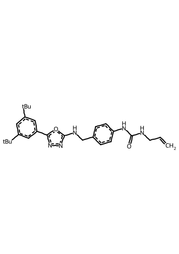 C=CCNC(=O)Nc1ccc(CNc2nnc(-c3cc(C(C)(C)C)cc(C(C)(C)C)c3)o2)cc1